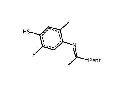 CCCC(C)/C(C)=N/c1cc(F)c(S)cc1C